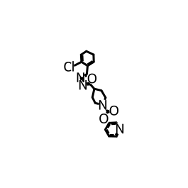 O=C(Oc1cccnc1)N1CCC(c2nnc(C3=CCCC=C3Cl)o2)CC1